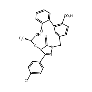 O=C(O)c1ccc(Cn2nc(-c3ccc(Cl)cc3)n(C[C@H](O)C(F)(F)F)c2=O)cc1-c1ccccc1Cl